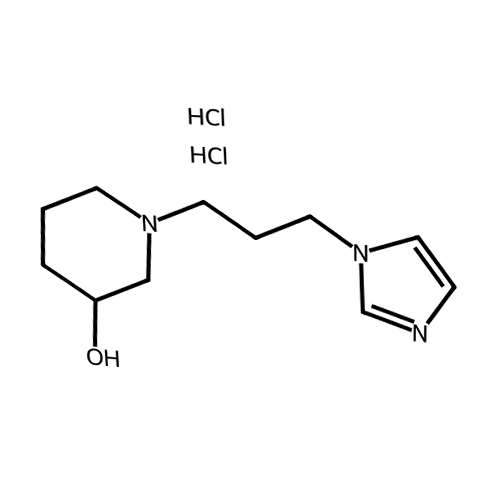 Cl.Cl.OC1CCCN(CCCn2ccnc2)C1